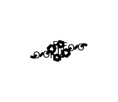 CCOCCOc1ccc(F)[c]([Ti]([C]2=CC=CC2)([C]2=CC=CC2)[c]2c(F)ccc(OCCOCC)c2F)c1F